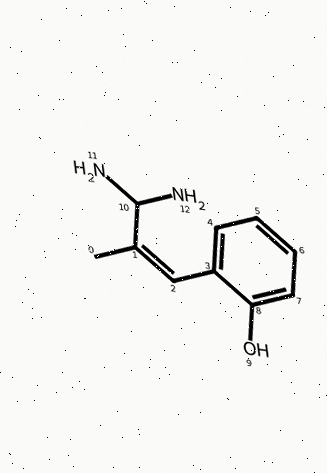 CC(=Cc1ccccc1O)C(N)N